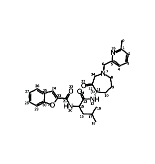 Cc1cccc(CN2CCC[C@H](NC(=O)C(CC(C)C)NC(=O)c3cc4ccccc4o3)C(=O)C2)n1